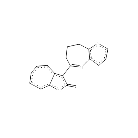 O=c1[nH]c2cccccc-2c1C1=Nc2cccnc2CCC1